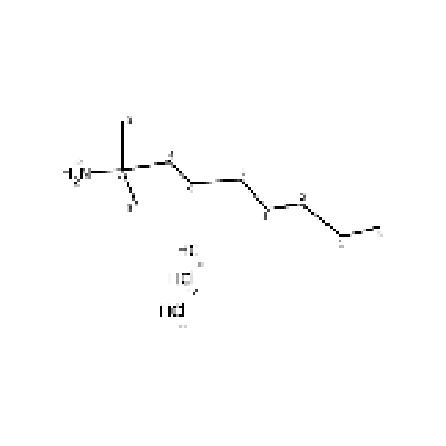 CCCCCCCC(C)(C)N.Cl.Cl.Cl